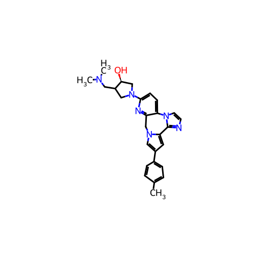 Cc1ccc(-c2cc3n(c2)Cc2nc(N4CC(CN(C)C)[C@@H](O)C4)ccc2-n2ccnc2-3)cc1